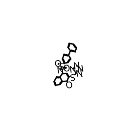 Cn1nnnc1SC1=CC(=NS(=O)(=O)c2ccc(-c3ccccc3)cc2)c2ccccc2C1=O